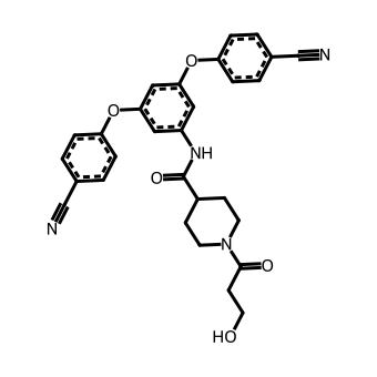 N#Cc1ccc(Oc2cc(NC(=O)C3CCN(C(=O)CCO)CC3)cc(Oc3ccc(C#N)cc3)c2)cc1